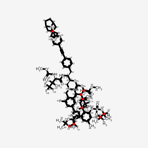 COC(=O)N[C@H](C(=O)N[C@@H](Cc1ccc(C#Cc2cnc(N3CC4CCC(C3)N4C3COC3)nc2)cc1)[C@H](CN(Cc1c(F)cc(-c2ccn(C(F)F)n2)cc1F)NC(=O)[C@@H](NC(=O)OC)C(C)(C)C(F)(F)F)OC(=O)O[C@@H](C)OC(=O)CC(C)(C)c1c(CC(=O)OC(C)(C)C)cc(C)cc1OP(=O)(OC(C)(C)C)OC(C)(C)C)C(C)(C)C(F)(F)F